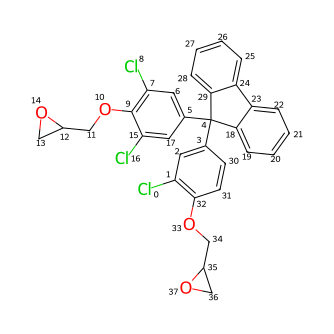 Clc1cc(C2(c3cc(Cl)c(OCC4CO4)c(Cl)c3)c3ccccc3-c3ccccc32)ccc1OCC1CO1